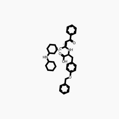 C/C(=C/C(=O)c1ccccc1)NC(Cc1ccc(OCc2ccccc2)cc1)C(=O)O.C1CCC(NC2CCCCC2)CC1